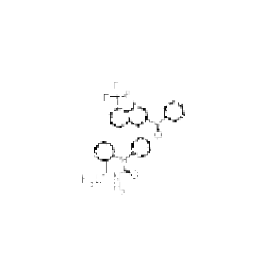 CCc1ccccc1N(C(N)=O)c1cccc(-c2c(C(=O)c3ccccc3)cnc3c(C(F)(F)F)cccc23)c1